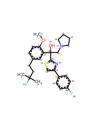 COc1ccc(CCC(C)(C)F)cc1C(O)(CN1CCCC1)c1nc(-c2ccc(F)cc2)cs1